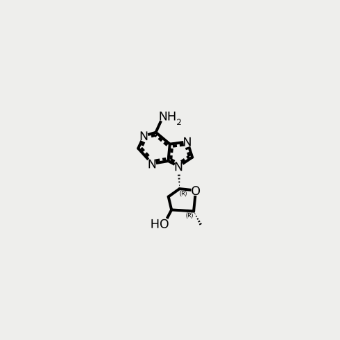 C[C@H]1O[C@@H](n2cnc3c(N)ncnc32)CC1O